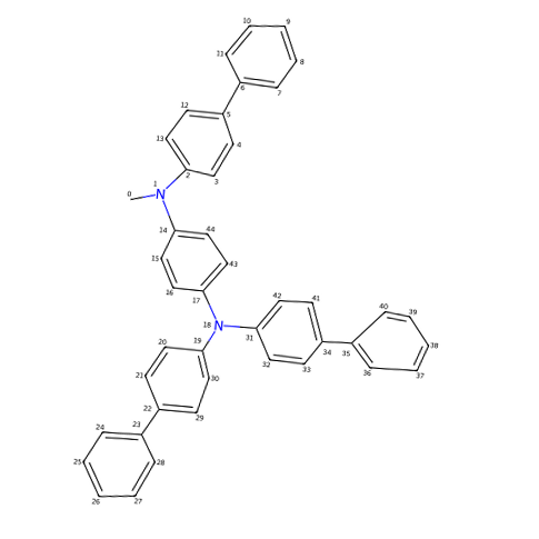 CN(c1ccc(-c2ccccc2)cc1)c1ccc(N(c2ccc(-c3ccccc3)cc2)c2ccc(-c3ccccc3)cc2)cc1